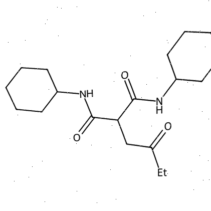 CCC(=O)CC(C(=O)NC1CCCCC1)C(=O)NC1CCCCC1